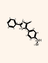 Cc1nc(-c2ccccc2)sc1-c1ccc(NBr)cc1